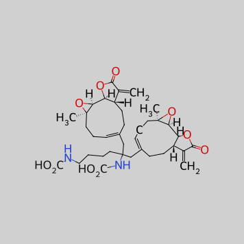 C=C1C(=O)O[C@H]2[C@H]1CC/C(CC(CCCCNC(=O)O)(C/C1=C/CC[C@@]3(C)O[C@H]3[C@H]3OC(=O)C(=C)[C@@H]3CC1)NC(=O)O)=C\CC[C@@]1(C)O[C@@H]21